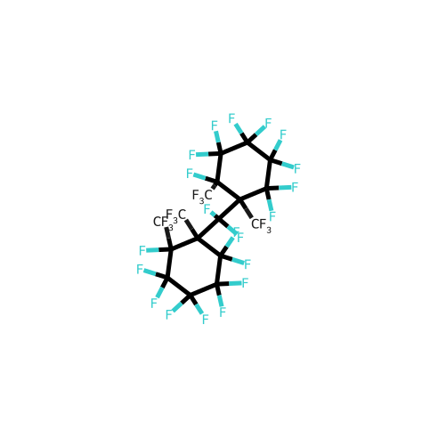 FC(F)(F)C1(F)C(F)(F)C(F)(F)C(F)(F)C(F)(F)C1(C(F)(F)F)C(F)(F)C1(C(F)(F)F)C(F)(F)C(F)(F)C(F)(F)C(F)(F)C1(F)C(F)(F)F